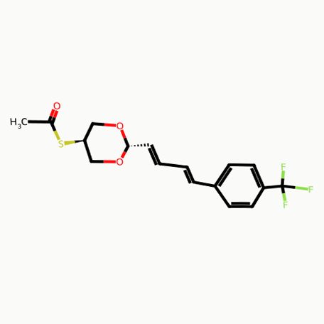 CC(=O)S[C@H]1CO[C@H](C=CC=Cc2ccc(C(F)(F)F)cc2)OC1